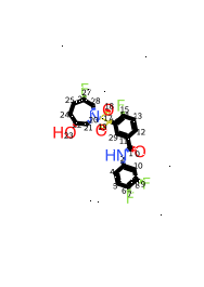 O=C(Nc1ccc(F)c(F)c1)c1ccc(F)c(S(=O)(=O)N2CC(O)CCC(F)C2)c1